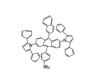 CC(C)(C)c1ccc(-c2c3ccc(-n4c(-c5ccccc5)ccc4-c4ccccc4)cc3c(-c3ccc4ccccc4c3)c3ccc(-n4c(-c5ccccc5)ccc4-c4ccccc4)cc23)cc1